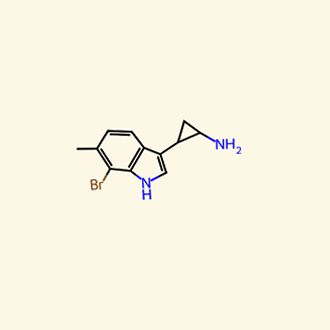 Cc1ccc2c(C3CC3N)c[nH]c2c1Br